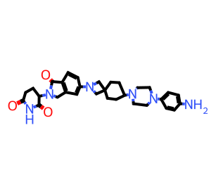 Nc1ccc(N2CCN(C3CCC4(CC3)CN(c3ccc5c(c3)CN(C3CCC(=O)NC3=O)C5=O)C4)CC2)cc1